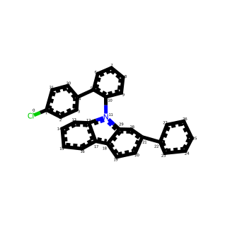 Clc1ccc(-c2ccccc2-n2c3ccccc3c3ccc(-c4ccccc4)cc32)cc1